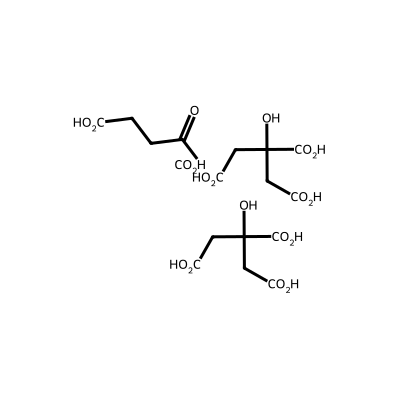 O=C(O)CC(O)(CC(=O)O)C(=O)O.O=C(O)CC(O)(CC(=O)O)C(=O)O.O=C(O)CCC(=O)C(=O)O